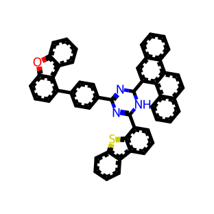 c1ccc2c(c1)cc(C1N=C(c3ccc(-c4cccc5oc6ccccc6c45)cc3)N=C(c3cccc4c3sc3ccccc34)N1)c1c3ccccc3ccc21